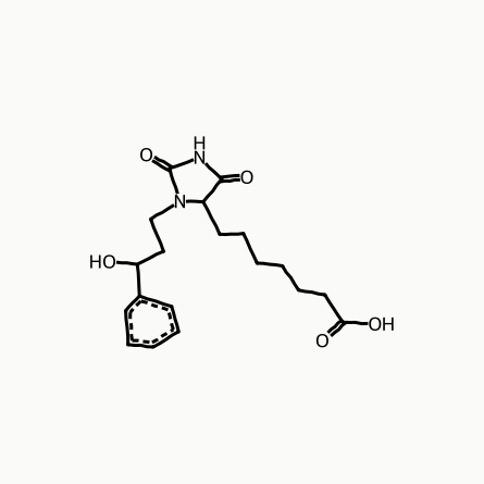 O=C(O)CCCCCCC1C(=O)NC(=O)N1CCC(O)c1ccccc1